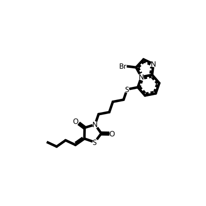 CCCC=C1SC(=O)N(CCCCSc2cccc3ncc(Br)n23)C1=O